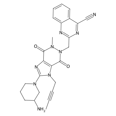 CC#CCn1c(N2CCCC(N)C2)nc2c(=O)n(C)n(Cc3nc(C#N)c4ccccc4n3)c(=O)c21